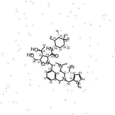 CC(C)C[C@@H](CN(C)C)N(Cc1cccc(CN2O[C@@H](CO)[C@@H]([C@H](C)O)[C@H]2C(=O)N[C@H]2C[C@@H](C)C(C)(C)[C@@H](C)[C@@H]2C)c1)Cc1cccn1C